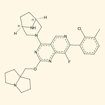 Cc1cccc(-c2ncc3c(N4C[C@H]5CC[C@@H](C4)N5)nc(OCC45CCCN4CCC5)nc3c2F)c1Cl